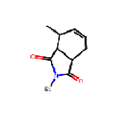 CCN1C(=O)C2CC=CC(C)C2C1=O